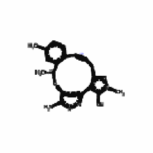 Cc1ccc2c(c1)[C@@H](C)Oc1cc(nnc1N)-c1c(nn(C)c1C#N)C/C=C\2